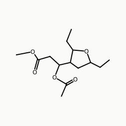 CCC1CC(C(CC(=O)OC)OC(C)=O)C(CC)O1